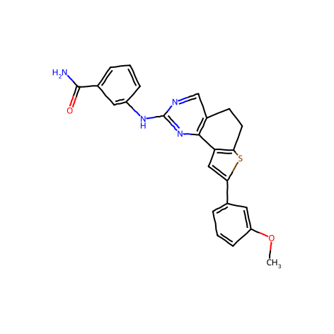 COc1cccc(-c2cc3c(s2)CCc2cnc(Nc4cccc(C(N)=O)c4)nc2-3)c1